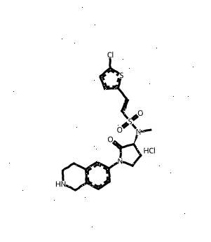 CN([C@H]1CCN(c2ccc3c(c2)CCNC3)C1=O)S(=O)(=O)C=Cc1ccc(Cl)s1.Cl